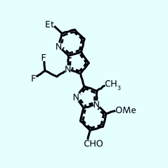 CCc1ccc2cc(-c3nc4cc(C=O)cc(OC)n4c3C)n(CC(F)F)c2n1